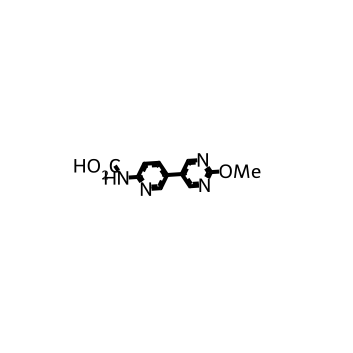 COc1ncc(-c2ccc(NC(=O)O)nc2)cn1